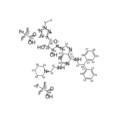 CCn1nnc([C@H]2O[C@@H](n3cnc4c(NCC(c5ccccc5)c5ccccc5)nc(NCCN5CCCCC5)nc43)[C@H](O)[C@@H]2O)n1.O=C(O)C(F)(F)F.O=C(O)C(F)(F)F